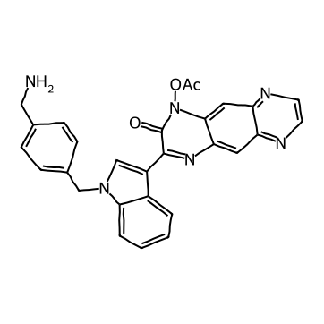 CC(=O)On1c(=O)c(-c2cn(Cc3ccc(CN)cc3)c3ccccc23)nc2cc3nccnc3cc21